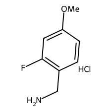 COc1ccc(CN)c(F)c1.Cl